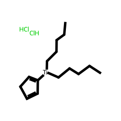 CCCC[CH2][Ti]([CH2]CCCC)[C]1=CCC=C1.Cl.Cl